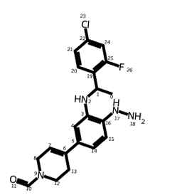 CC(Nc1cc(C2=CCN(C=O)CC2)ccc1NN)c1ccc(Cl)cc1F